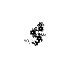 COc1cc(F)c(Cc2cnn(CC(=O)O)c2)cc1C(=O)N[C@@H]1[C@H]2CC[C@H](C2)[C@@H]1C(=O)Nc1cccc(S(=O)(=O)C(F)(F)F)c1